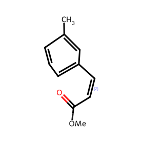 COC(=O)/C=C\c1cccc(C)c1